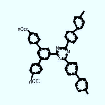 CCCCCCCCc1ccc(-c2cc(-c3ccc(CCCCCCCC)cc3)cc(-c3nc(-c4ccc(-c5ccc(C)cc5)cc4)nc(-c4ccc(-c5ccc(C)cc5)cc4)n3)c2)cc1